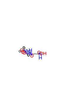 O=C(CCCCCCC(=O)Nc1cccc(CNC(=O)NC(C(=O)OC2CCCC2)c2ccccc2)c1)NO